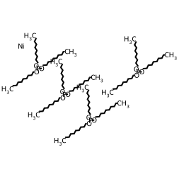 CCCCCCCCCCOP(OCCCCCCCCCC)OCCCCCCCCCC.CCCCCCCCCCOP(OCCCCCCCCCC)OCCCCCCCCCC.CCCCCCCCCCOP(OCCCCCCCCCC)OCCCCCCCCCC.CCCCCCCCCCOP(OCCCCCCCCCC)OCCCCCCCCCC.[Ni]